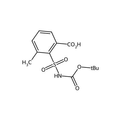 Cc1cccc(C(=O)O)c1S(=O)(=O)NC(=O)OC(C)(C)C